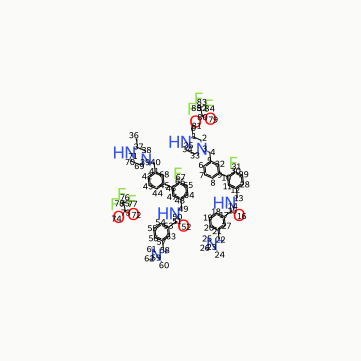 C[C@H]1CN(Cc2cccc(-c3cc(CNC(=O)c4cccc(C[N+](C)(C)C)c4)ccc3F)c2)CCN1.C[C@H]1CN(Cc2cccc(-c3cc(CNC(=O)c4cccc(C[N+](C)(C)C)c4)ccc3F)c2)CCN1.O=C([O-])C(F)(F)F.O=C([O-])C(F)(F)F